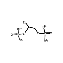 CCCP(=O)(CCC)OCC(CC)OP(=O)(CCC)CCC